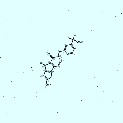 COC(C)(C)c1cccc(Cn2ncc3c4sc(SC)nc4n(C)c3c2=O)c1